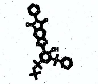 CC(C)(C)CC(C)(C)c1cc(-n2nc3cc4c(cc3n2)C(=O)N(c2ccccc2)C4=O)c(O)c(C(C)(C)c2ccccc2)c1